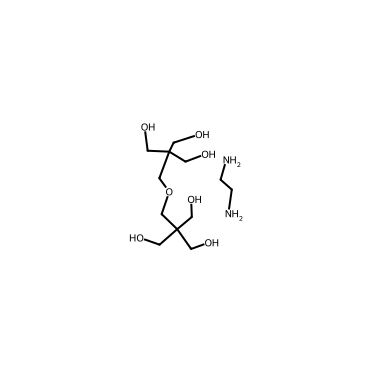 NCCN.OCC(CO)(CO)COCC(CO)(CO)CO